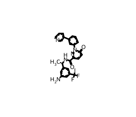 C[C@@H](NC(=O)c1ccc(=O)n(-c2cccc(-c3cccnc3)c2)n1)c1cc(N)cc(C(F)(F)I)c1